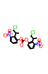 CC(CCl)c1c(OC(=O)Oc2cccc([N+](=O)[O-])c2C(C)CCl)cccc1[N+](=O)[O-]